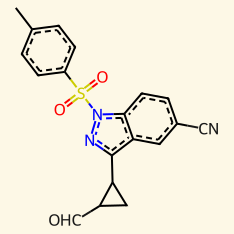 Cc1ccc(S(=O)(=O)n2nc(C3CC3C=O)c3cc(C#N)ccc32)cc1